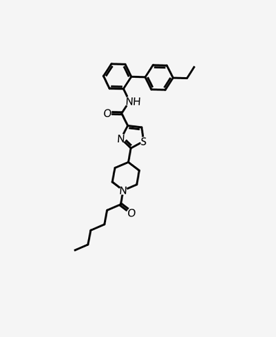 CCCCCC(=O)N1CCC(c2nc(C(=O)Nc3ccccc3-c3ccc(CC)cc3)cs2)CC1